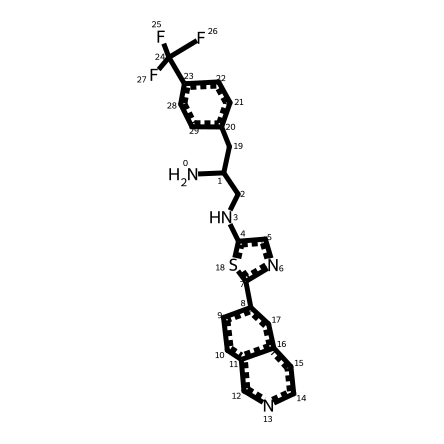 NC(CNc1cnc(-c2ccc3cnccc3c2)s1)Cc1ccc(C(F)(F)F)cc1